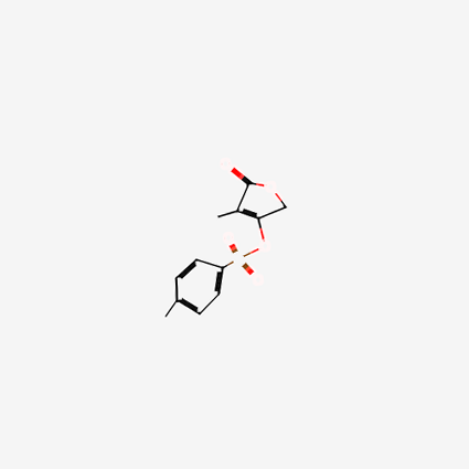 CC1=C(OS(=O)(=O)c2ccc(C)cc2)COC1=O